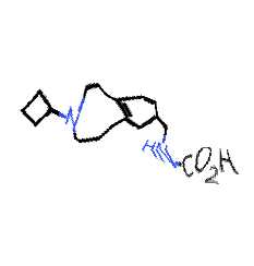 O=C(O)NCc1ccc2c(c1)CCN(C1CCC1)CC2